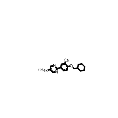 CCCCCCc1cnc(-c2ccc(OCC3CC[CH]CC3)c(C#N)c2)nc1